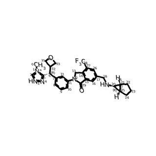 C[n+]1c[nH]nc1[C@@H](c1cccc(N2Cc3c(cc(CN[C@H]4[C@@H]5CCC[C@@H]54)cc3C(F)(F)F)C2=O)c1)C1COC1